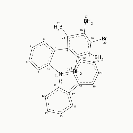 Bc1c(B)c(-c2ccccc2-n2c3ccccc3c3ccccc32)c(B)c(B)c1Br